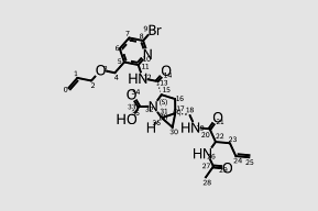 C=CCOCc1ccc(Br)nc1NC(=O)[C@@H]1C[C@@]2(CNC(=O)C(CC=C)NC(C)=O)C[C@H]2N1C(=O)O